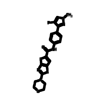 Cn1cc(F)c(-c2ccc(NC(=O)c3cc4sc(N5CCOCC5)nc4s3)cc2)n1